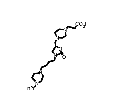 CCCN1CCN(CCCCN2CC(CN3CCN(CCC(=O)O)CC3)OC2=O)CC1